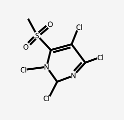 CS(=O)(=O)C1=C(Cl)C(Cl)=NC(Cl)N1Cl